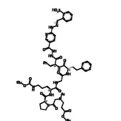 CC(=O)N(CCC(=O)OC(C)(C)C)CC(=O)N1CCC[C@H]1C(=O)N[C@@H](CCCNC(=O)OC(C)(C)C)C(=O)NCC(=O)N[C@@H](CCc1ccccc1)C(=O)N[C@@H](CC(C)C)C(=O)NNC(=O)c1ccc(N/N=C/c2ccccc2S(=O)(=O)O)nc1